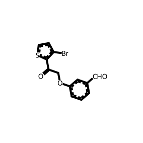 O=Cc1cccc(OCC(=O)c2sccc2Br)c1